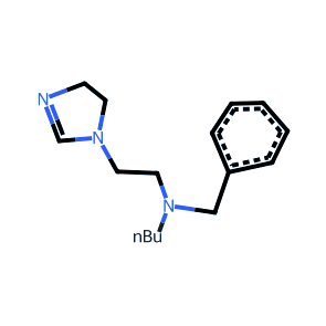 CCCCN(CCN1C=NCC1)Cc1ccccc1